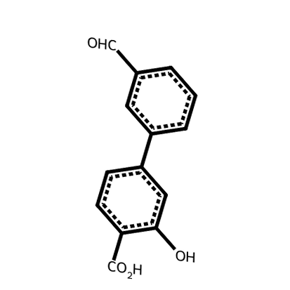 O=Cc1cccc(-c2ccc(C(=O)O)c(O)c2)c1